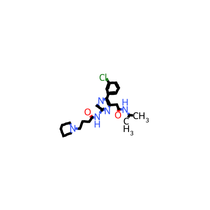 CC(C)NC(=O)Cc1nc(NC(=O)CCCN2CCCCC2)cnc1-c1cccc(Cl)c1